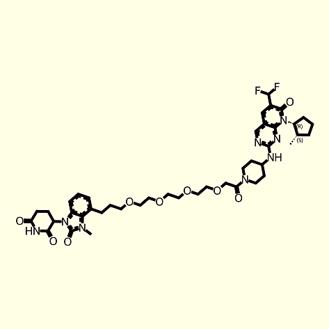 C[C@H]1CCC[C@H]1n1c(=O)c(C(F)F)cc2cnc(NC3CCN(C(=O)COCCOCCOCCOCCCc4cccc5c4n(C)c(=O)n5C4CCC(=O)NC4=O)CC3)nc21